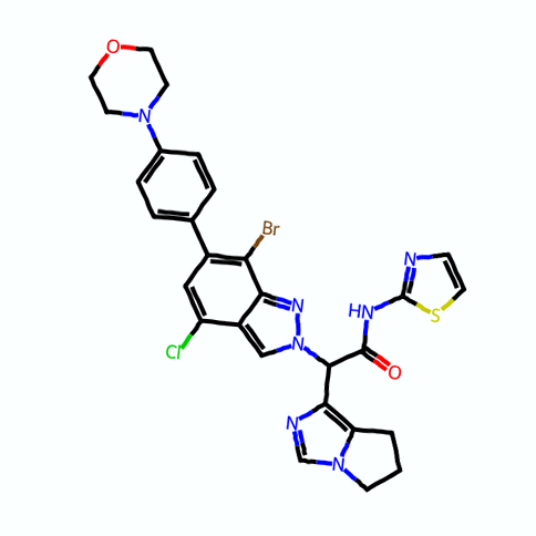 O=C(Nc1nccs1)C(c1ncn2c1CCC2)n1cc2c(Cl)cc(-c3ccc(N4CCOCC4)cc3)c(Br)c2n1